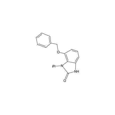 CC(C)n1c(=O)[nH]c2cccc(OCc3ccccc3)c21